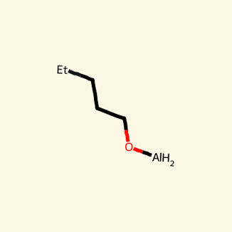 CCCCC[O][AlH2]